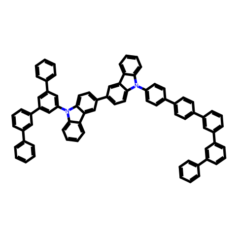 c1ccc(-c2cccc(-c3cccc(-c4ccc(-c5ccc(-n6c7ccccc7c7cc(-c8ccc9c(c8)c8ccccc8n9-c8cc(-c9ccccc9)cc(-c9cccc(-c%10ccccc%10)c9)c8)ccc76)cc5)cc4)c3)c2)cc1